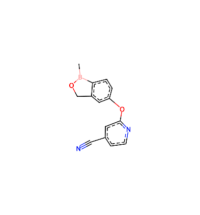 CB1OCc2cc(Oc3cc(C#N)ccn3)ccc21